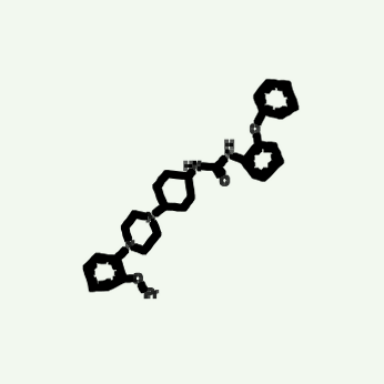 CC(C)Oc1ccccc1N1CCN(C2CCC(NC(=O)Nc3ccccc3Oc3ccccc3)CC2)CC1